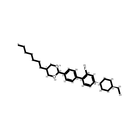 CCCCCCCC1COC(c2ccc(-c3ccc([C@H]4CC[C@H](CC)CC4)cc3F)cc2)OC1